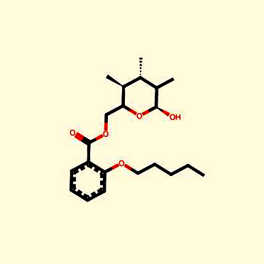 CCCCCOc1ccccc1C(=O)OCC1O[C@H](O)C(C)[C@@H](C)[C@@H]1C